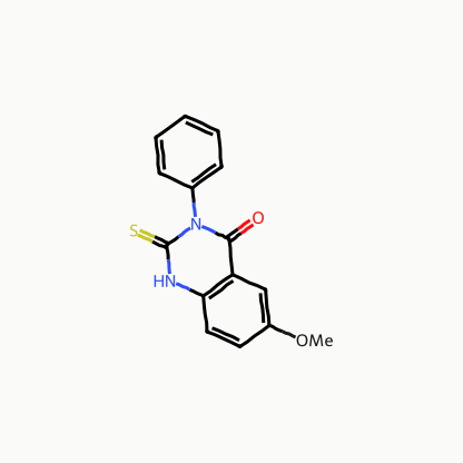 COc1ccc2[nH]c(=S)n(-c3ccccc3)c(=O)c2c1